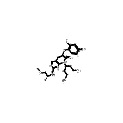 COC[C@H](C)Nc1ncc2cc(Oc3ccc(F)cc3F)c(=O)n(C(CCO)CCO)c2n1